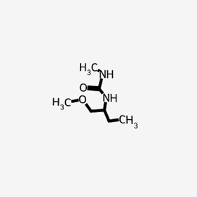 CCC(COC)NC(=O)NC